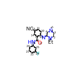 CCN1CCN(C)C/C1=N\c1ccc(C#N)cc1C(=O)Nc1cccc(F)c1